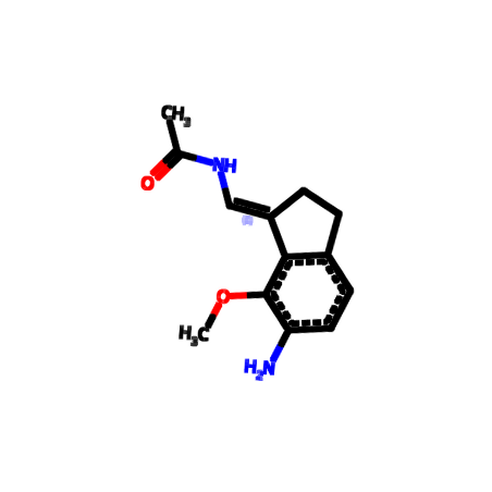 COc1c(N)ccc2c1/C(=C/NC(C)=O)CC2